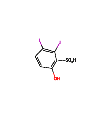 O=S(=O)(O)c1c(O)ccc(I)c1I